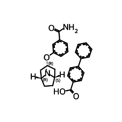 CN1[C@@H]2CC[C@H]1C[C@@H](Oc1cccc(C(N)=O)c1)C2.O=C(O)c1ccc(-c2ccccc2)cc1